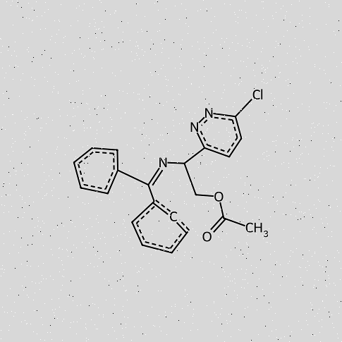 CC(=O)OCC(N=C(c1ccccc1)c1ccccc1)c1ccc(Cl)nn1